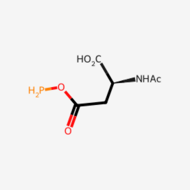 CC(=O)N[C@@H](CC(=O)OP)C(=O)O